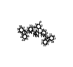 Cc1cc(C)c(-n2c(-c3cccc(-n4c5ccccc5c5ccccc54)n3)nnc2-c2cccc(-n3c4ccccc4c4ccccc43)n2)c(C)c1